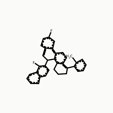 Cc1ccccc1C1=c2ccc3c(c2CCC1)C(c1ccc2ccccc2c1F)C=c1ccc(F)cc1=3